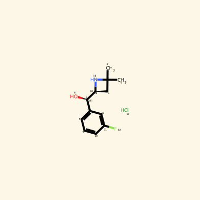 CC1(C)C[C@@H]([C@H](O)c2cccc(F)c2)N1.Cl